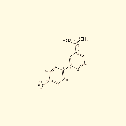 C[C@H](O)c1cccc(-c2ccc(C(F)(F)F)cc2)c1